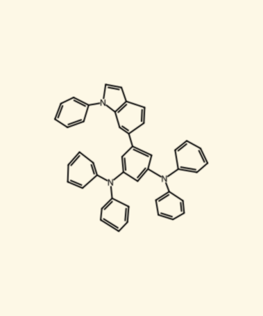 c1ccc(N(c2ccccc2)c2cc(-c3ccc4ccn(-c5ccccc5)c4c3)cc(N(c3ccccc3)c3ccccc3)c2)cc1